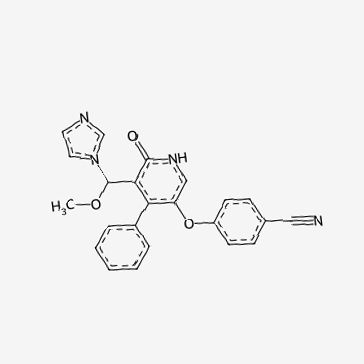 COC(c1c(-c2ccccc2)c(Oc2ccc(C#N)cc2)c[nH]c1=O)n1ccnc1